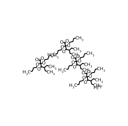 CCCCOC(OCCCC)(C(=O)[O-])C(=O)C(CC)CC.CCCCOC(OCCCC)(C(=O)[O-])C(=O)C(CC)CC.CCCCOC(OCCCC)(C(=O)[O-])C(=O)C(CC)CC.CCCCOC(OCCCC)(C(=O)[O-])C(=O)C(CC)CC.[Hf+4]